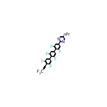 CCCc1cnc(-c2cc(F)c(-c3cc(F)c(-c4cc(F)c(C#CC(F)(F)F)c(F)c4)c(F)c3)c(F)c2)nc1